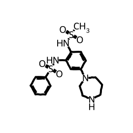 CS(=O)(=O)Nc1ccc(N2CCCNCC2)cc1NS(=O)(=O)c1ccccc1